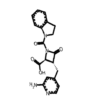 Nc1cc(C[C@H]2C(=O)N(C(=O)N3CCc4ccccc43)[C@@H]2C(=O)O)ccn1